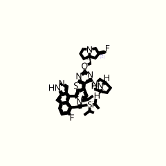 CC(C)[Si](C#Cc1c(F)ccc2cc3[nH]ncc3c(-c3nccc4c3sc3nc(OC[C@@]56CCCN5C/C(=C\F)C6)nc(N5C[C@H]6CC[C@@H](C5)N6)c34)c12)(C(C)C)C(C)C